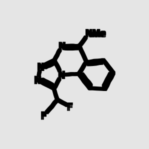 CNc1nc2nnc(C(F)F)n2c2ccccc12